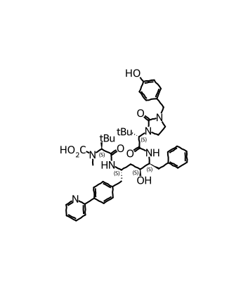 CN(C(=O)O)[C@H](C(=O)N[C@@H](Cc1ccc(-c2ccccn2)cc1)C[C@H](O)[C@H](Cc1ccccc1)NC(=O)[C@@H](N1CCN(Cc2ccc(O)cc2)C1=O)C(C)(C)C)C(C)(C)C